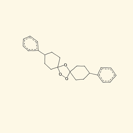 c1ccc(C2CCC3(CC2)OOC2(CCC(c4ccccc4)CC2)O3)cc1